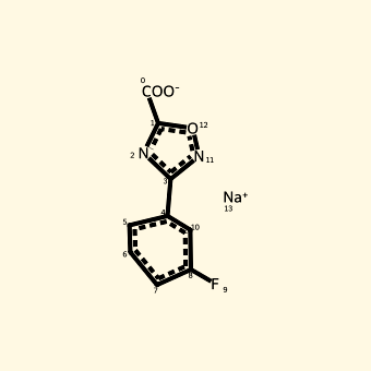 O=C([O-])c1nc(-c2cccc(F)c2)no1.[Na+]